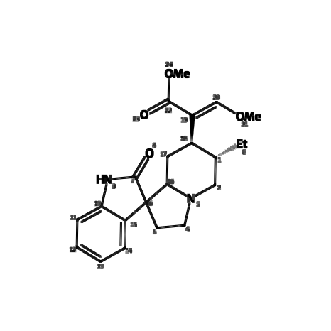 CC[C@@H]1CN2CCC3(C(=O)Nc4ccccc43)C2C[C@H]1/C(=C\OC)C(=O)OC